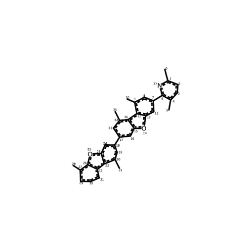 Cc1ccc(C)c(-c2cc(C)c3c(c2)oc2cc(-c4cc(C)c5c(c4)oc4c(C)cccc45)cc(C)c23)n1